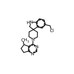 CC1CCc2ncnc(N3CCC4(CC3)CNc3ccc(CCl)cc34)c21